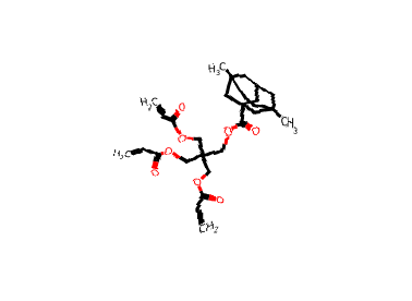 C=CC(=O)OCC(COC(=O)C=C)(COC(=O)C=C)COC(=O)C12CC3CC(C)(CC(C)(C3)C1)C2